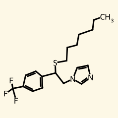 CCCCCCCSC(Cn1ccnc1)c1ccc(C(F)(F)F)cc1